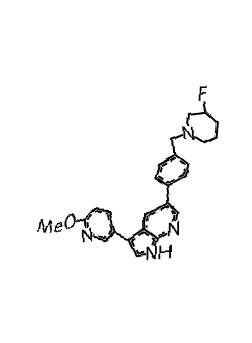 COc1ccc(-c2c[nH]c3ncc(-c4ccc(CN5CCCC(F)C5)cc4)cc23)cn1